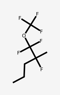 CCCC(C)(F)C(F)(F)OC(F)(F)F